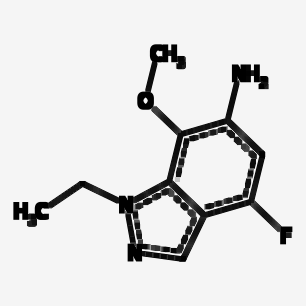 CCn1ncc2c(F)cc(N)c(OC)c21